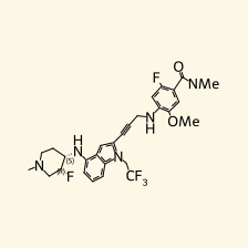 CNC(=O)c1cc(OC)c(NCC#Cc2cc3c(N[C@H]4CCN(C)C[C@H]4F)cccc3n2CC(F)(F)F)cc1F